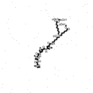 CCCCCCCCCCCOC(=O)CCCCCN(CCCCCCCC(=O)OC(CCCCCCCC)CCCCCCCC)CC(O)CCCCNC(=O)c1cc(NC(=O)c2cc(NC(=O)c3nc(NC(=O)c4nccn4C)cn3C)cn2C)cn1C